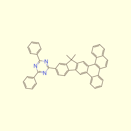 CC1(C)c2cc(-c3nc(-c4ccccc4)nc(-c4ccccc4)n3)ccc2-c2cc3c4ccccc4c4ccc5ccccc5c4c3cc21